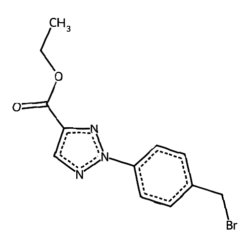 CCOC(=O)c1cnn(-c2ccc(CBr)cc2)n1